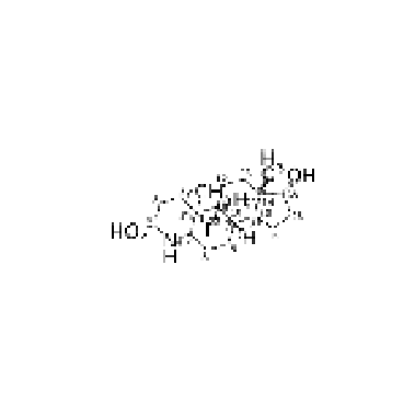 C[C@]12CCC(O)NC1CC[C@@H]1[C@H]2CC[C@]2(C)C(O)CC[C@@H]12